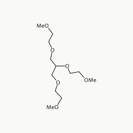 COCCOCC(COCCOC)OCCOC